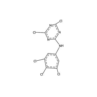 Clc1nc(Cl)nc(Nc2cc(Cl)c(Cl)c(Cl)c2)n1